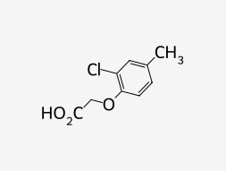 Cc1ccc(OCC(=O)O)c(Cl)c1